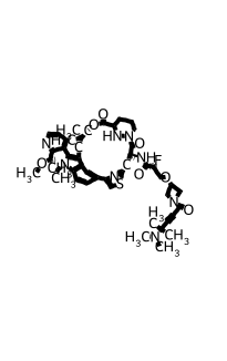 CCn1c(-c2cccnc2[C@H](C)OC)c2c3cc(ccc31)-c1csc(n1)C[C@H](NC(=O)[C@H](F)COC1CN(C(=O)C#CC(C)(C)N(C)C)C1)C(=O)N1CCCC(N1)C(=O)OCC(C)(C)C2